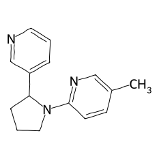 Cc1ccc(N2CCCC2c2cccnc2)nc1